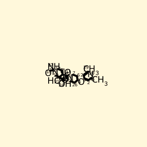 Cc1cc(OC2CCN(S(=O)(=O)C3CCN(C(N)=O)CC3(O)C(=O)O)CC2)cc(C)n1